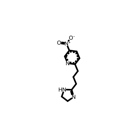 O=[N+]([O-])c1ccc(CCCC2=NCCN2)nc1